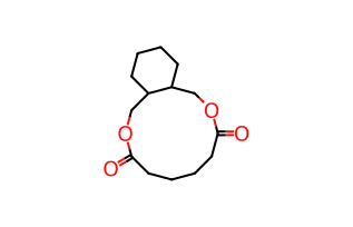 O=C1CCCCC(=O)OCC2CCCCC2CO1